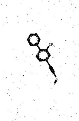 FC(F)(F)c1cc(C#CSI)ccc1-c1ccccc1